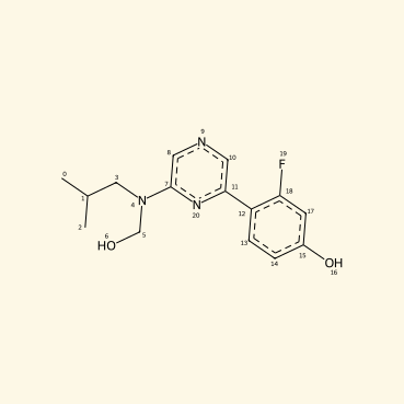 CC(C)CN(CO)c1cncc(-c2ccc(O)cc2F)n1